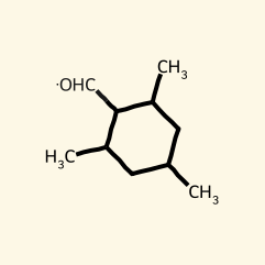 CC1CC(C)C([C]=O)C(C)C1